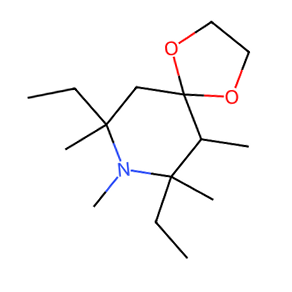 CCC1(C)CC2(OCCO2)C(C)C(C)(CC)N1C